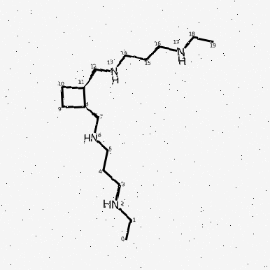 CCNCCCNC[C@H]1CC[C@H]1CNCCCNCC